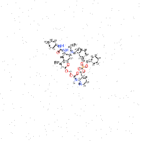 CC[C@@H](CC(=O)OCOC(=O)N(C)c1ncccc1COP(=O)(OCc1ccccc1)OCc1ccccc1)c1ccc(N(CC(C)C)CC(C)C)c(NC(=O)Nc2ccc(C)cc2)c1